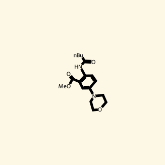 CCCCC(=O)Nc1ccc(N2CCOCC2)cc1C(=O)OC